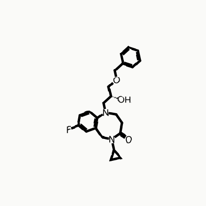 O=C1CCN(C[C@@H](O)COCc2ccccc2)c2ccc(F)cc2CN1C1CC1